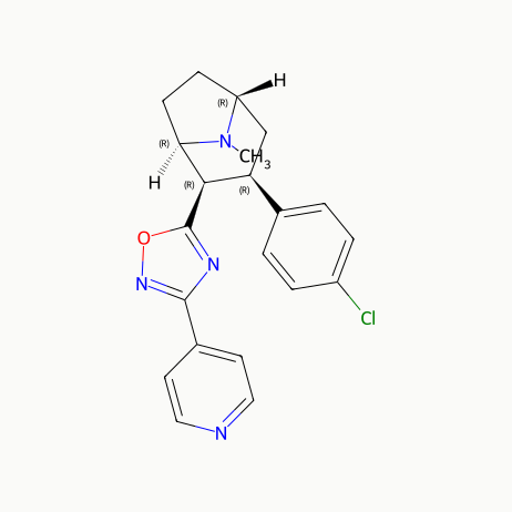 CN1[C@@H]2CC[C@@H]1[C@H](c1nc(-c3ccncc3)no1)[C@H](c1ccc(Cl)cc1)C2